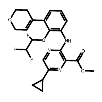 COC(=O)c1nc(C2CC2)cnc1Nc1cccc(C2=CCOCC2)c1OC(F)C(F)F